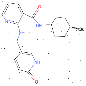 CC(C)(C)[C@H]1CC[C@H](NC(=O)c2cccnc2NCc2ccc(=O)[nH]c2)CC1